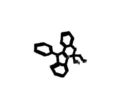 CC(C)CC1(C)Oc2ccccc2-c2n(-c3ccccc3)c3ccccc3[n+]21